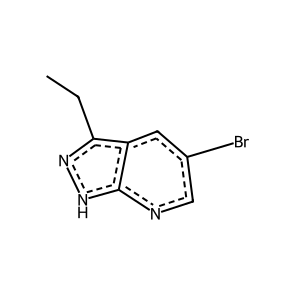 CCc1n[nH]c2ncc(Br)cc12